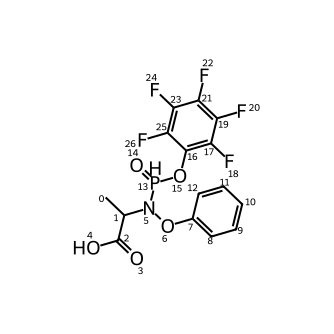 CC(C(=O)O)N(Oc1ccccc1)[PH](=O)Oc1c(F)c(F)c(F)c(F)c1F